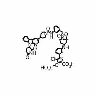 CC1(C)C[C@@H](Nc2cccc(-c3sc(C(=O)O)c(OCC(=O)O)c3Cl)c2)CCN1S(=O)(=O)Cc1cccc(NC(=O)N2CCC(c3cnc4c(c3)c3ccccc3n4C3CCC(=O)NC3=O)CC2)c1